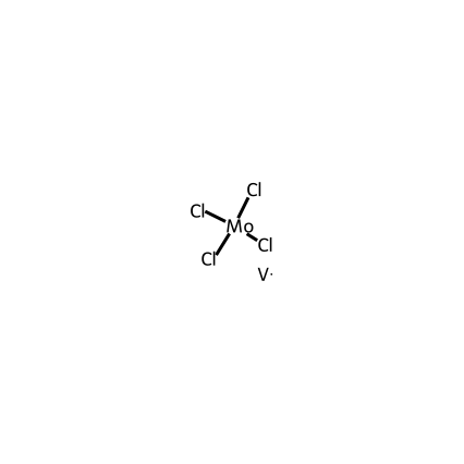 [Cl][Mo]([Cl])([Cl])[Cl].[V]